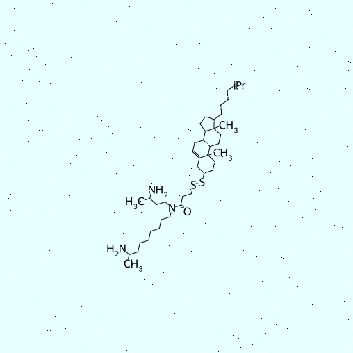 CC(C)CCCCC1CCC2C3CC=C4CC(SSCCC(=O)N(CCCCCCCC(C)N)CCC(C)N)CCC4(C)C3CCC12C